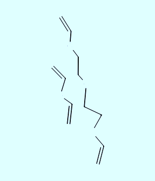 C=COC=C.C=COCCOCCOC=C